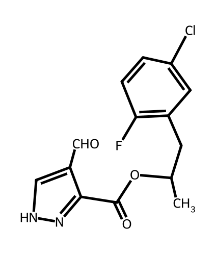 CC(Cc1cc(Cl)ccc1F)OC(=O)c1n[nH]cc1C=O